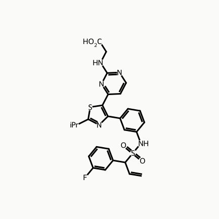 C=CC(c1cccc(F)c1)S(=O)(=O)Nc1cccc(-c2nc(C(C)C)sc2-c2ccnc(NCC(=O)O)n2)c1